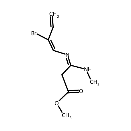 C=C/C(Br)=C\N=C(/CC(=O)OC)NC